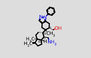 C=C1CC[C@H]2[C@H](CN)[C@@H]([C@@]3(C)Cc4cnn(-c5ccccc5)c4C[C@@H]3CO)CC[C@]12C